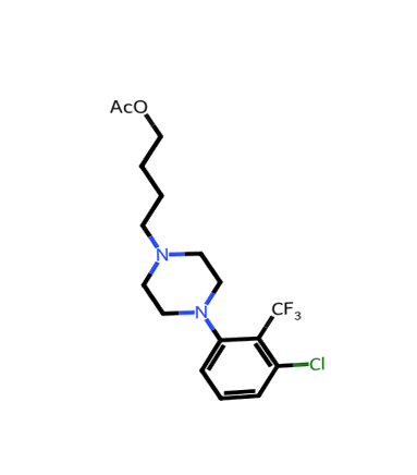 CC(=O)OCCCCN1CCN(c2cccc(Cl)c2C(F)(F)F)CC1